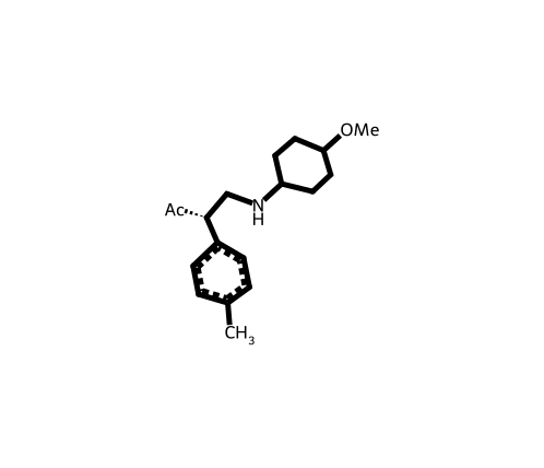 COC1CCC(NC[C@@H](C(C)=O)c2ccc(C)cc2)CC1